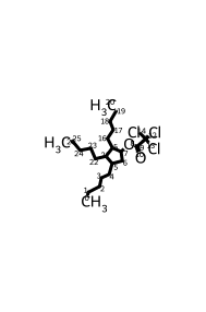 CCCCCC1CC(OC(=O)C(Cl)(Cl)Cl)C(CCCCC)C1CCCCC